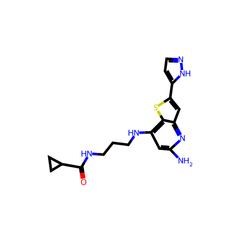 Nc1cc(NCCCNC(=O)C2CC2)c2sc(-c3ccn[nH]3)cc2n1